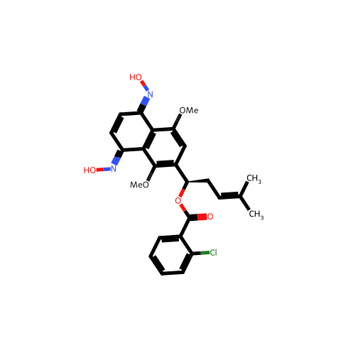 COc1cc([C@@H](CC=C(C)C)OC(=O)c2ccccc2Cl)c(OC)c2c1/C(=N/O)C=C/C2=N\O